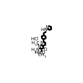 CCn1c(N)c(C(=O)NC)c(=O)c2ccc(-c3ccc(CCNc4ccccn4)cc3)nc21.Cl